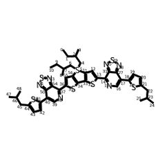 CCC(C)CS1(CC(C)CC)c2cc(-c3ncc(-c4ccc(CC(C)C)s4)c4nsnc34)sc2-c2sc(-c3ncc(-c4ccc(CC(C)C)s4)c4nsnc34)cc21